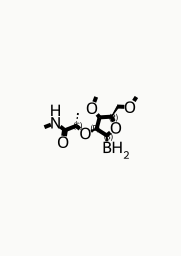 B[C@@H]1O[C@H](COC)C(OC)[C@@H]1O[C@@H](C)C(=O)NC